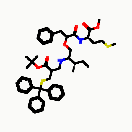 CC[C@H](C)C(COC(Cc1ccccc1)C(=O)N[C@H](CCSC)C(=O)OC)NCC(CSC(c1ccccc1)(c1ccccc1)c1ccccc1)C(=O)OC(C)(C)C